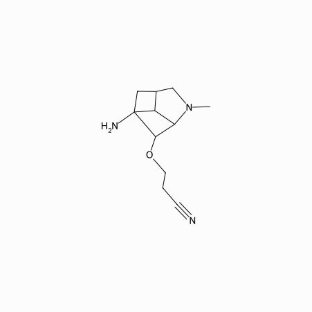 CN1CC2CC3(N)C(OCCC#N)C1C23